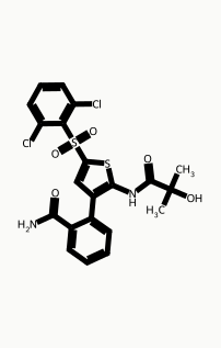 CC(C)(O)C(=O)Nc1sc(S(=O)(=O)c2c(Cl)cccc2Cl)cc1-c1ccccc1C(N)=O